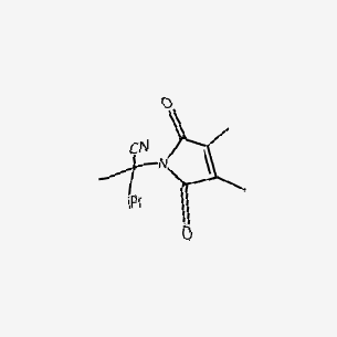 CC1=C(C)C(=O)N(C(C)(C#N)C(C)C)C1=O